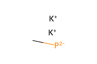 C[P-2].[K+].[K+]